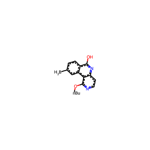 Bc1ccc2c(O)nc3ccnc(OCCCC)c3c2c1